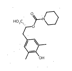 Cc1cc(C[C@@H](OC(=O)N2CCCCC2)C(=O)O)cc(C)c1O